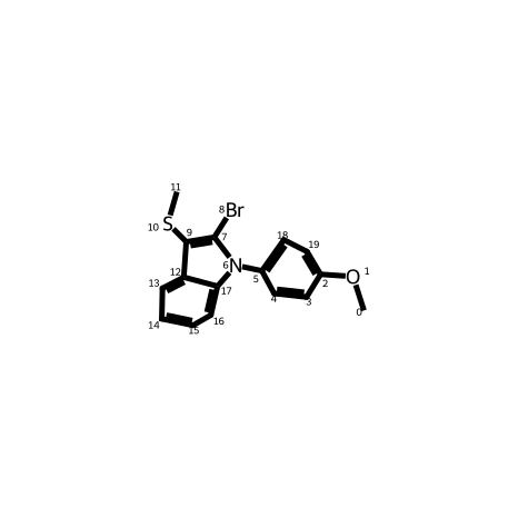 COc1ccc(-n2c(Br)c(SC)c3ccccc32)cc1